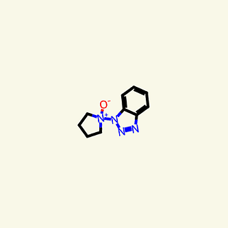 [O-][N+]1(n2nnc3ccccc32)CCCC1